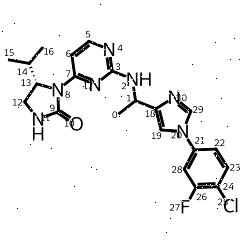 CC(Nc1nccc(N2C(=O)NC[C@@H]2C(C)C)n1)c1cn(-c2ccc(Cl)c(F)c2)cn1